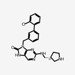 O=c1[nH]c2cnc(NC[C@@H]3CCNC3)nc2n1Cc1cccc(-c2ccccc2Cl)c1